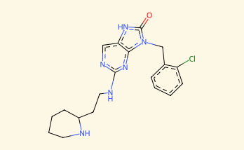 O=c1[nH]c2cnc(NCCC3CCCCN3)nc2n1Cc1ccccc1Cl